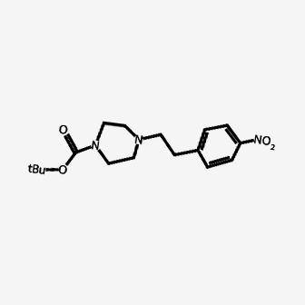 CC(C)(C)OC(=O)N1CCN(CCc2ccc([N+](=O)[O-])cc2)CC1